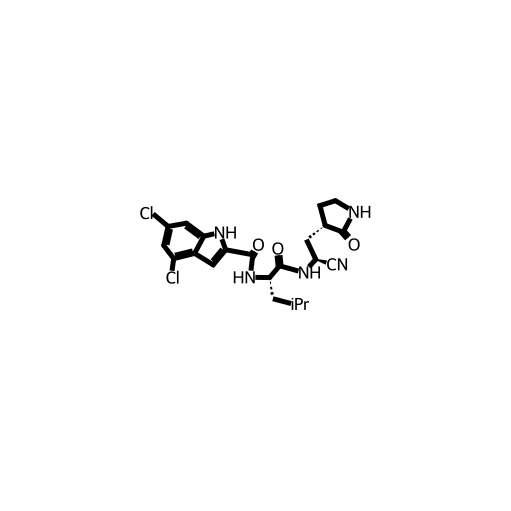 CC(C)C[C@H](NC(=O)c1cc2c(Cl)cc(Cl)cc2[nH]1)C(=O)N[C@H](C#N)C[C@@H]1CCNC1=O